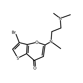 CN(C)CCN(C)c1cc(=O)c2scc(Br)c2o1